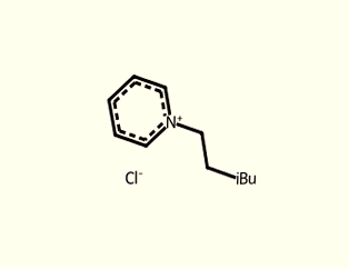 CCC(C)CC[n+]1ccccc1.[Cl-]